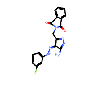 NC1=NN=C(CN2C(=O)c3ccccc3C2=O)/C1=N/Nc1cccc(F)c1